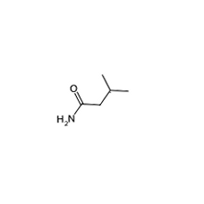 C[C](C)CC(N)=O